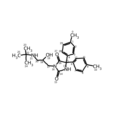 Cc1ccc(C2(c3ccc(C)cc3)NC(=O)N(CC(O)CNC(C)(C)C)C2=O)cc1